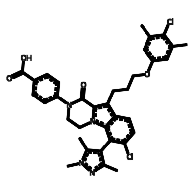 Cc1cc(OCCCc2c3n(c4c(-c5c(C)nn(C)c5C)c(Cl)ccc24)CCN(c2ccc(C(=O)O)cc2)C3=O)cc(C)c1Cl